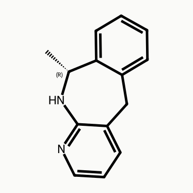 C[C@H]1Nc2ncccc2Cc2ccccc21